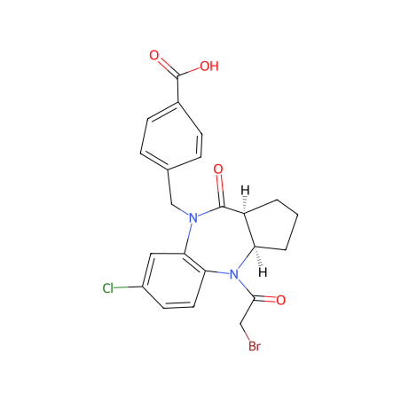 O=C(O)c1ccc(CN2C(=O)[C@H]3CCC[C@H]3N(C(=O)CBr)c3ccc(Cl)cc32)cc1